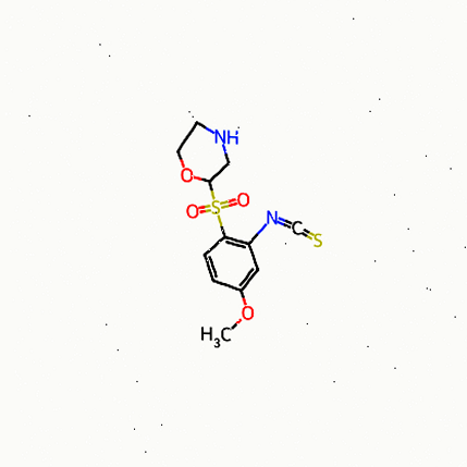 COc1ccc(S(=O)(=O)C2CNCCO2)c(N=C=S)c1